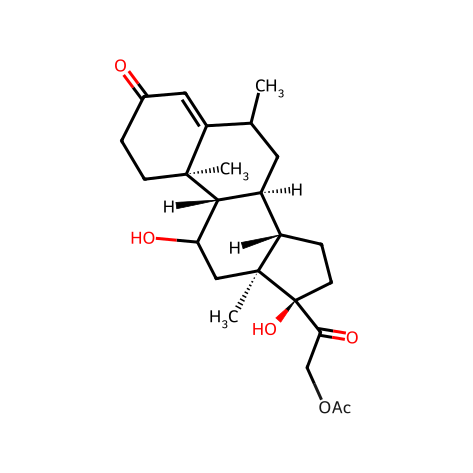 CC(=O)OCC(=O)[C@@]1(O)CC[C@H]2[C@@H]3CC(C)C4=CC(=O)CC[C@]4(C)[C@H]3C(O)C[C@@]21C